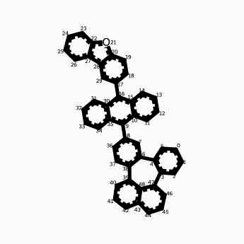 c1ccc2c(c1)-c1cc(-c3c4ccccc4c(-c4ccc5oc6ccccc6c5c4)c4ccccc34)ccc1-c1cccc3cccc-2c13